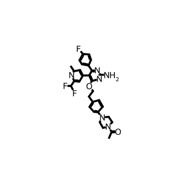 CC(=O)N1CCN(c2ccc(CCOc3nc(N)nc(-c4ccc(F)cc4)c3-c3cc(C)nc(C(F)F)c3)cc2)CC1